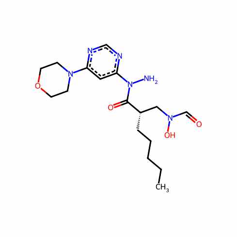 CCCCC[C@@H](CN(O)C=O)C(=O)N(N)c1cc(N2CCOCC2)ncn1